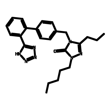 CCCCCn1nc(CCC)n(Cc2ccc(-c3ccccc3-c3nnn[nH]3)cc2)c1=O